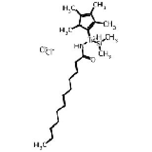 CCCCCCCCCCCC(=O)[NH][Ti+2]([C]1=C(C)C(C)=C(C)C1C)[SiH](C)C.[Cl-].[Cl-]